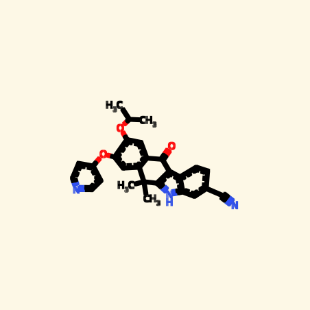 CC(C)Oc1cc2c(cc1Oc1ccncc1)C(C)(C)c1[nH]c3cc(C#N)ccc3c1C2=O